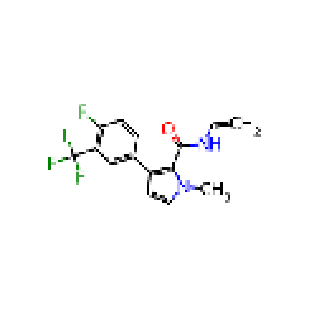 C=CNC(=O)c1c(-c2ccc(F)c(C(F)(F)F)c2)ccn1C